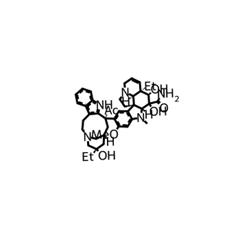 CC[C@]1(O)C[C@@H]2CN(CCc3c([nH]c4ccccc34)[C@@](C(C)=O)(c3cc4c(cc3OC)N(C)[C@H]3C(O)(C(N)=O)[C@H](O)[C@]5(CC)C=CCN6CC[C@]43[C@@H]65)C2)C1